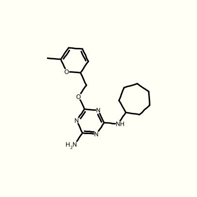 CC1=CC=CC(COc2nc(N)nc(NC3CCCCCC3)n2)O1